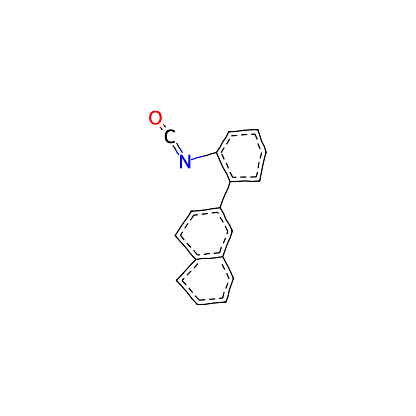 O=C=Nc1ccccc1-c1ccc2ccccc2c1